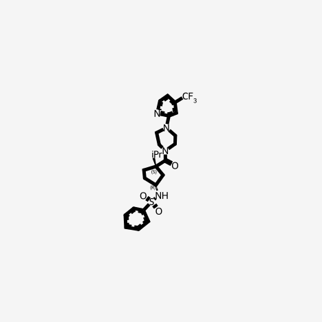 CC(C)[C@]1(C(=O)N2CCN(c3cc(C(F)(F)F)ccn3)CC2)CC[C@@H](NS(=O)(=O)c2ccccc2)C1